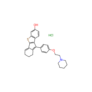 Cl.Oc1ccc2c3c(sc2c1)C1=CCCCC1=C3c1ccc(OCCN2CCCCC2)cc1